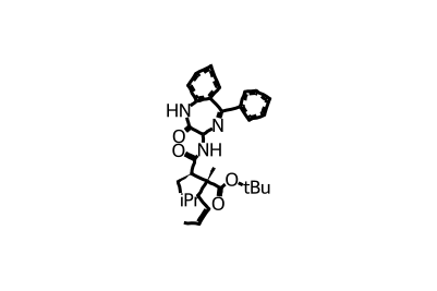 C/C=C\C[C@@](C)(C(=O)OC(C)(C)C)[C@@H](CC(C)C)C(=O)NC1N=C(c2ccccc2)c2ccccc2NC1=O